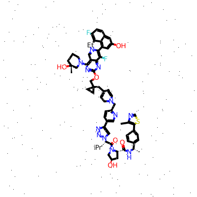 CCc1c(F)ccc2cc(O)cc(-c3ncc4c(N5CCC[C@@](C)(O)C5)nc(OCC5(CC6=CCN(Cc7ccc(-c8cn([C@H](C(=O)N9C[C@H](O)C[C@H]9C(=O)N[C@@H](C)c9ccc(-c%10scnc%10C)cc9)C(C)C)nn8)cn7)C=C6)CC5)nc4c3F)c12